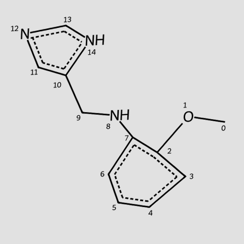 COc1ccccc1NCc1cnc[nH]1